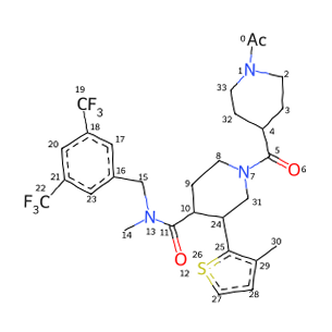 CC(=O)N1CCC(C(=O)N2CCC(C(=O)N(C)Cc3cc(C(F)(F)F)cc(C(F)(F)F)c3)C(c3sccc3C)C2)CC1